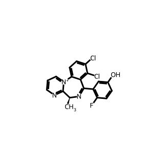 C[C@@H]1N=C(c2cc(O)ccc2F)c2c(ccc(Cl)c2Cl)-[n+]2cccnc21